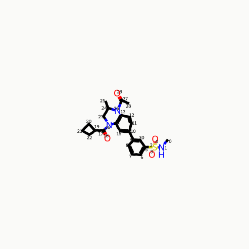 CNS(=O)(=O)c1cccc(-c2ccc3c(c2)N(C(=O)C2CCC2)CC(C)N3C(C)=O)c1